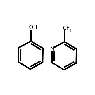 FC(F)(F)c1ccccn1.Oc1ccccc1